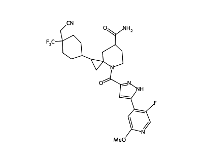 COc1cc(-c2cc(C(=O)N3CCC(C(N)=O)CC34CC4C3CCC(CC#N)(C(F)(F)F)CC3)n[nH]2)c(F)cn1